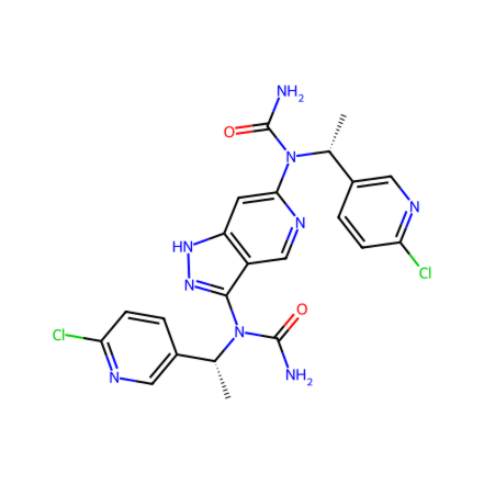 C[C@H](c1ccc(Cl)nc1)N(C(N)=O)c1cc2[nH]nc(N(C(N)=O)[C@H](C)c3ccc(Cl)nc3)c2cn1